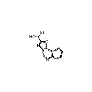 CCC(O)c1nc2cnc3ccccc3c2o1